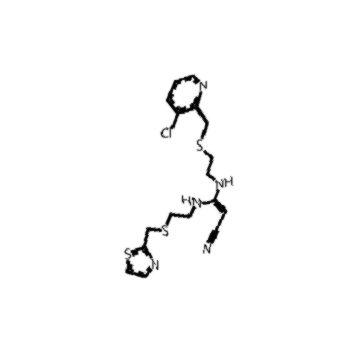 N#C/C=C(\NCCSCc1nccs1)NCCSCc1ncccc1Cl